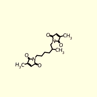 CC1=CC(=O)N(CCCCC(C)CN2C(=O)C=C(C)C2=O)C1=O